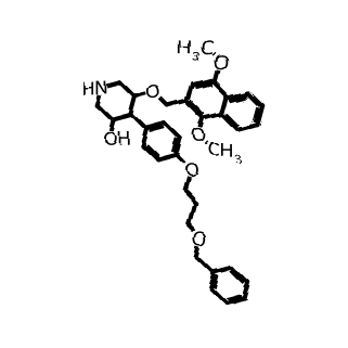 COc1cc(COC2CNCC(O)C2c2ccc(OCCCOCc3ccccc3)cc2)c(OC)c2ccccc12